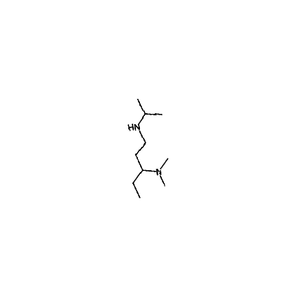 CCC(CCNC(C)C)N(C)C